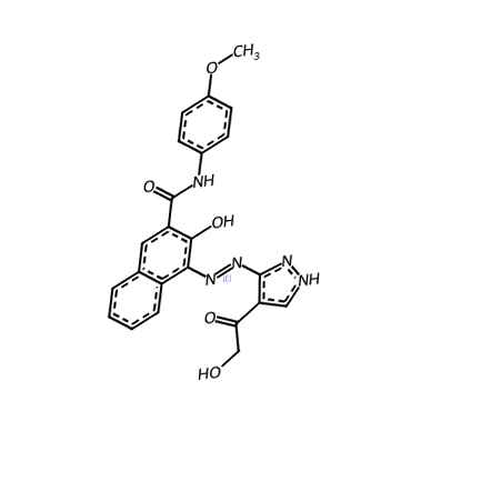 COc1ccc(NC(=O)c2cc3ccccc3c(/N=N/c3n[nH]cc3C(=O)CO)c2O)cc1